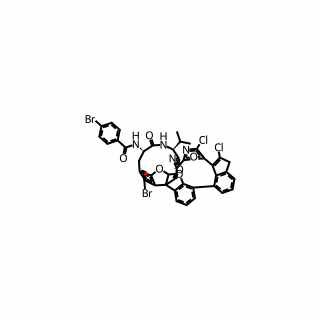 CC(C)[C@@H]1NC(=O)[C@@H](NC(=O)c2ccc(Br)cc2)Cc2cc(Br)c3c(c2)C24c5cccc(c5OC2O3)-c2cccc3c2C(=C(Cl)C3)c2oc(nc2Cl)-c2nc1oc24